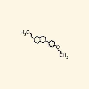 C=CCOc1ccc(C2CCC3CC(C=CC)CCC3C2)cc1